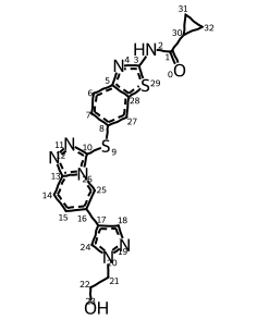 O=C(Nc1nc2ccc(Sc3nnc4ccc(-c5cnn(CCO)c5)cn34)cc2s1)C1CC1